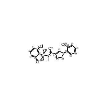 O=C(NS(=O)(=O)c1c(Cl)cccc1Cl)c1cn(-c2ccccc2Cl)cn1